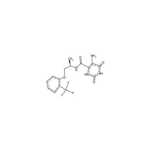 C[C@H](COc1ccccc1C(F)(F)F)NC(=O)c1[nH]c(=O)[nH]c(=O)c1N